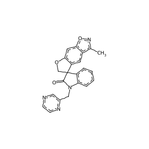 Cc1noc2cc3c(cc12)C1(CO3)C(=O)N(Cc2cnccn2)c2ccccc21